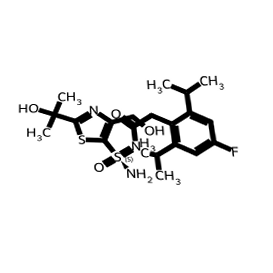 CC(C)c1cc(F)cc(C(C)C)c1CC(=O)N=[S@](N)(=O)c1sc(C(C)(C)O)nc1CO